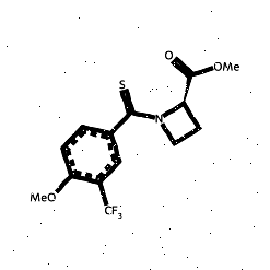 COC(=O)[C@H]1CCN1C(=S)c1ccc(OC)c(C(F)(F)F)c1